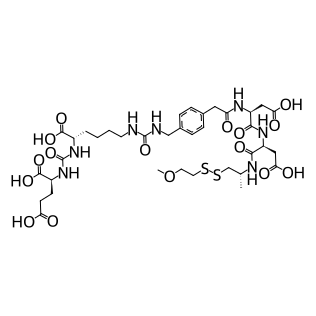 COCCSSC[C@@H](C)NC(=O)[C@H](CC(=O)O)NC(=O)[C@H](CC(=O)O)NC(=O)Cc1ccc(CNC(=O)NCCCC[C@H](NC(=O)N[C@@H](CCC(=O)O)C(=O)O)C(=O)O)cc1